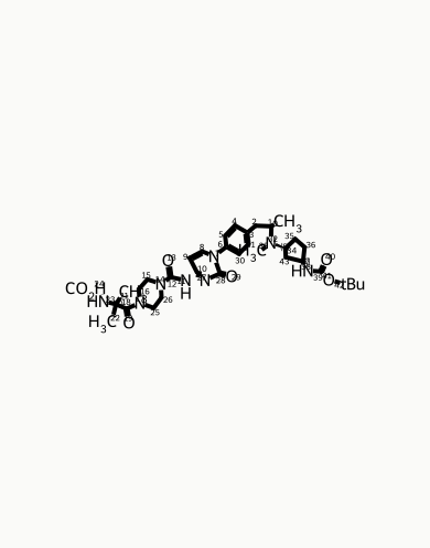 CC(Cc1ccc(-n2ccc(NC(=O)N3CCN(C(=O)C(C)(C)NC(=O)O)CC3)nc2=O)cc1)N(C)[C@H]1CC[C@@H](NC(=O)OC(C)(C)C)C1